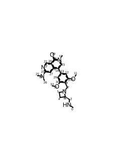 CNC[C@H]1CCN1Cc1c(OC)cc(-c2cn(C)c(=O)c3cnc(N(C)C)cc23)cc1OC